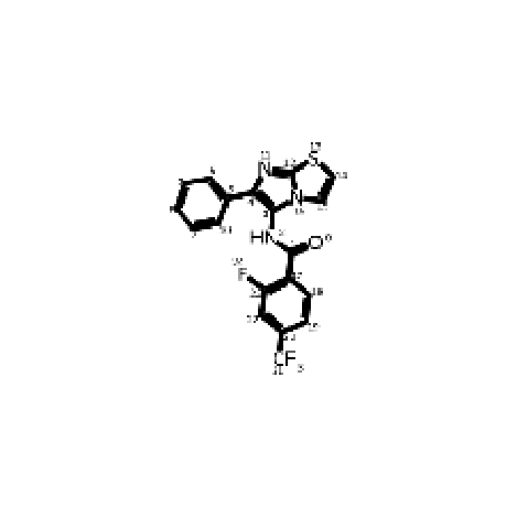 O=C(Nc1c(-c2ccccc2)nc2sccn12)c1ccc(C(F)(F)F)cc1F